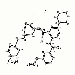 CCNSc1cccc(C(=O)Nc2ccc(N3CCCCC3)cc2C(=O)Nc2cccc(CCc3ccc(C(=O)O)cc3)c2)c1